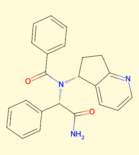 NC(=O)[C@H](c1ccccc1)N(C(=O)c1ccccc1)[C@@H]1CCc2ncccc21